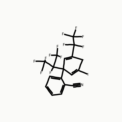 N#Cc1ccccc1C1(C(F)(C(F)(F)F)C(F)(F)F)C=C(I)[CH]C(C(F)(F)C(F)(F)F)=C1